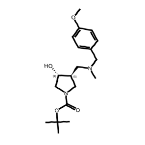 COc1ccc(CN(C)C[C@H]2CN(C(=O)OC(C)(C)C)C[C@@H]2O)cc1